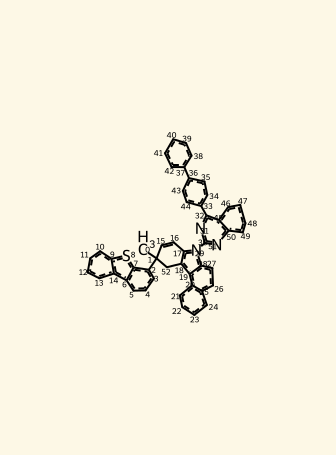 CC1(c2cccc3c2sc2ccccc23)C=Cc2c(c3c4ccccc4ccc3n2-c2nc(-c3ccc(-c4ccccc4)cc3)c3ccccc3n2)C1